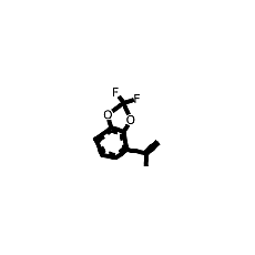 C=C(C)c1cccc2c1OC(F)(F)O2